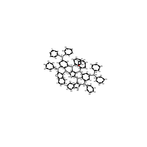 c1ccc(N(c2ccccc2)c2cc3c4c(c2)N(c2ccccc2)c2c(sc5c2N(c2ccccc2)c2cc(N(c6ccccc6)c6ccccc6)cc6c2B5c2c(sc5ccccc25)N6c2ccccc2)B4c2c(oc4ccccc24)N3c2ccccc2)cc1